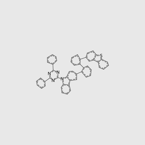 c1ccc(-c2nc(-c3ccccc3)nc(-n3c4ccccc4c4cc(-c5ccccc5-c5ccccc5-c5ccc6sc7ccccc7c6c5)ccc43)n2)cc1